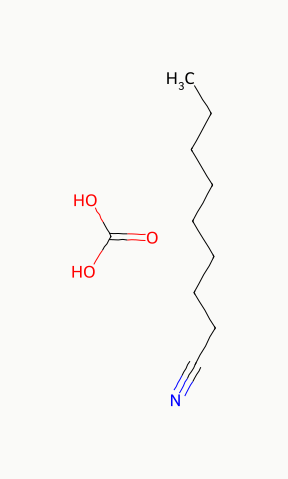 CCCCCCCCC#N.O=C(O)O